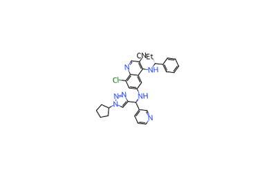 CC[C@@H](Nc1c(C#N)cnc2c(Cl)cc(N[C@@H](c3cccnc3)c3cn(C4CCCC4)nn3)cc12)c1ccccc1